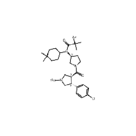 CC(=O)C(C)(C)C(=O)N(C1CCC(C)(C)CC1)[C@H]1CCN(C(=O)[C@@H]2CN(C(C)(C)C)C[C@H]2c2ccc(Cl)cc2)C1